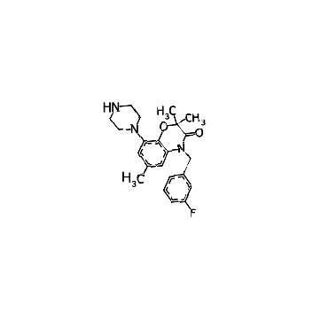 Cc1cc(N2CCNCC2)c2c(c1)N(Cc1cccc(F)c1)C(=O)C(C)(C)O2